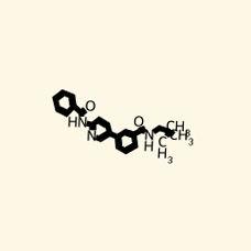 CC(C)(C)CNC(=O)c1cccc(-c2ccc(NC(=O)c3ccccc3)nc2)c1